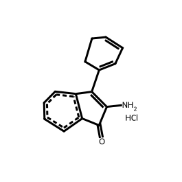 Cl.NC1=C(C2=CC=CCC2)c2ccccc2C1=O